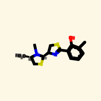 Cc1cccc(C2=NC([C@H]3SC[C@H](C(=O)O)N3C)CS2)c1O